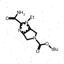 CCn1c(C(N)=O)nc2c1CN(C(=O)OC(C)(C)C)C2